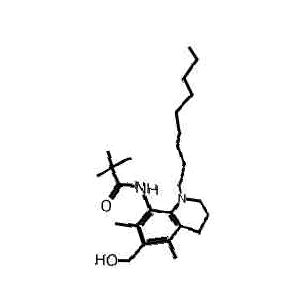 CCCCCCCCCN1CCCc2c(C)c(CO)c(C)c(NC(=O)C(C)(C)C)c21